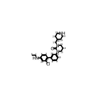 CCNc1ccc(-c2cccc(N3CCCN(CC4CCNCC4)C3=O)c2)c(Cl)c1